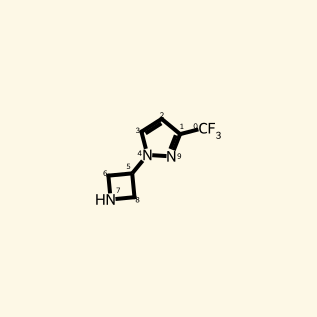 FC(F)(F)c1ccn(C2CNC2)n1